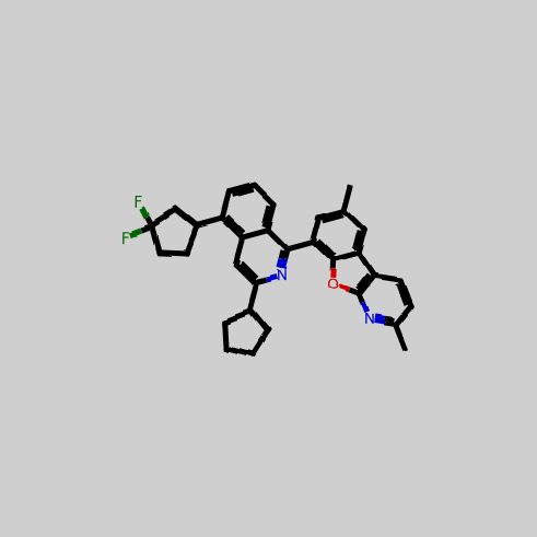 Cc1cc(-c2nc(C3CCCC3)cc3c(C4CCC(F)(F)C4)cccc23)c2oc3nc(C)ccc3c2c1